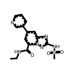 CCNC(=O)c1cc(-c2cccnc2)cc2nc(NS(C)(=O)=O)nn12